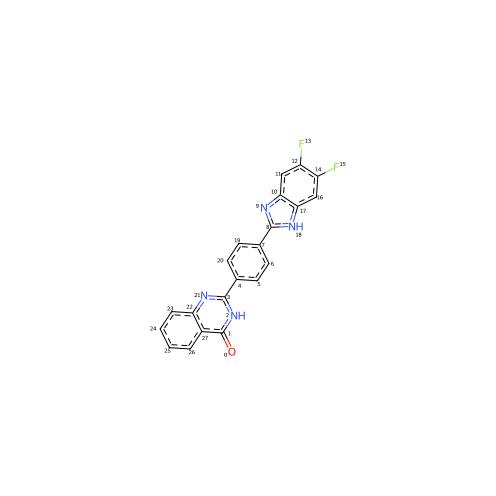 O=c1[nH]c(-c2ccc(-c3nc4cc(F)c(F)cc4[nH]3)cc2)nc2ccccc12